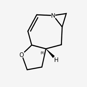 C1=CN2CC2C[C@@H]2CCOC12